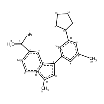 C=C(CCC)c1cc2c(-c3cc(C)cc(C4CCCC4)n3)cc(C)n2cn1